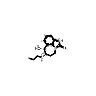 CCCN[C@@H]1CCn2c(=O)[nH]c3cccc(c32)[C@H]1O